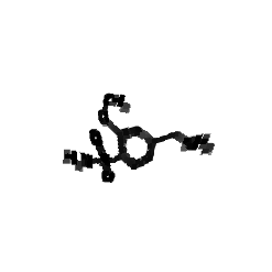 COc1cc(CN)ccc1S(N)(=O)=O